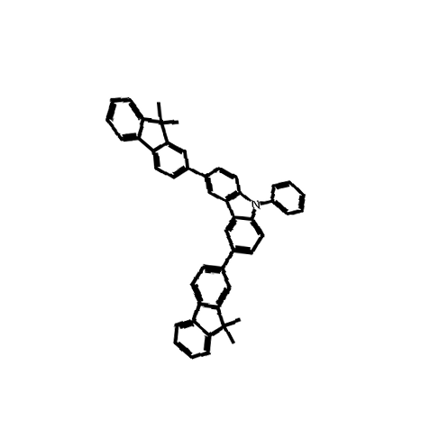 CC1(C)c2ccccc2-c2ccc(-c3ccc4c(c3)c3cc(-c5ccc6c(c5)C(C)(C)c5ccccc5-6)ccc3n4-c3ccccc3)cc21